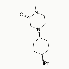 CC(C)[C@H]1CC[C@@H](N2CCN(C)C(=O)C2)CC1